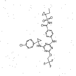 CCC1(S(=O)(=O)NC(=O)c2ccc(Nc3nc(NC4(c5ccc(Cl)cc5)CC4)nc(OCC(F)(F)F)n3)cc2)CC1